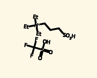 CC[N+](CC)(CC)CCCS(=O)(=O)O.O=S(=O)(O)C(F)(F)F